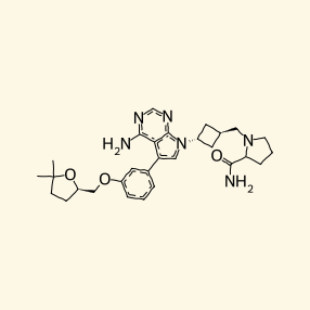 CC1(C)CC[C@H](COc2cccc(-c3cn([C@H]4C[C@H](CN5CCCC5C(N)=O)C4)c4ncnc(N)c34)c2)O1